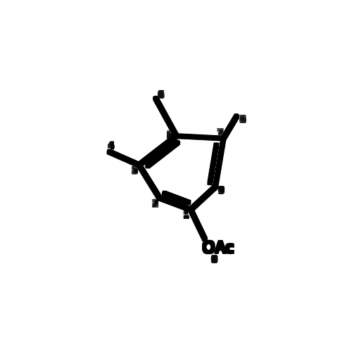 CC(=O)Oc1cc(C)c(C)c(C)c1